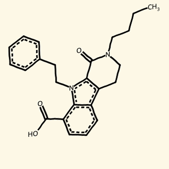 CCCCN1CCc2c(n(CCc3ccccc3)c3c(C(=O)O)cccc23)C1=O